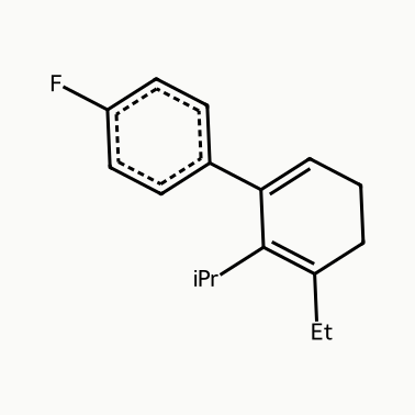 CCC1=C(C(C)C)C(c2ccc(F)cc2)=CCC1